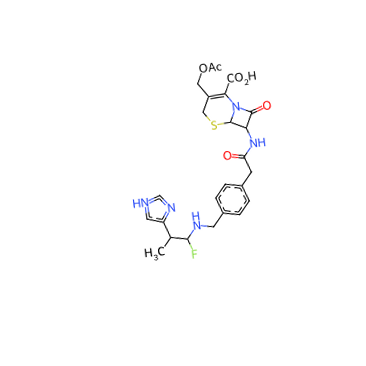 CC(=O)OCC1=C(C(=O)O)N2C(=O)C(NC(=O)Cc3ccc(CNC(F)C(C)c4c[nH]cn4)cc3)C2SC1